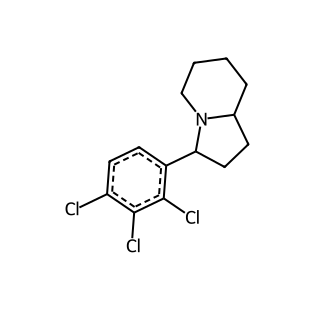 Clc1ccc(C2CCC3CCCCN32)c(Cl)c1Cl